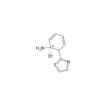 CC[C@]1(N)C=CC=CC1c1nccs1